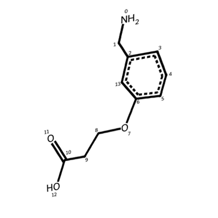 NCc1cccc(OCCC(=O)O)c1